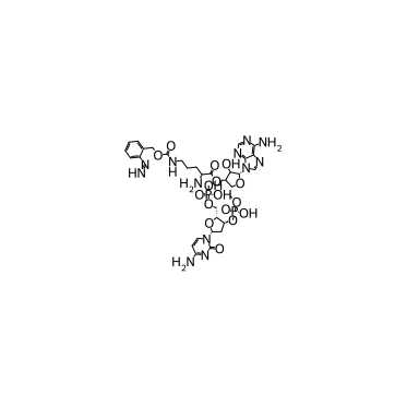 N=Nc1ccccc1COC(=O)NCCC[C@H](N)C(=O)O[C@H]1[C@@H](O)[C@H](n2cnc3c(N)ncnc32)O[C@@H]1COP(=O)(O)O[C@H]1C[C@H](n2ccc(N)nc2=O)O[C@@H]1COP(=O)(O)O